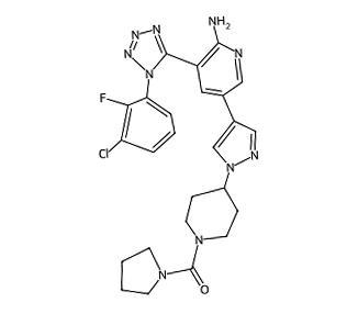 Nc1ncc(-c2cnn(C3CCN(C(=O)N4CCCC4)CC3)c2)cc1-c1nnnn1-c1cccc(Cl)c1F